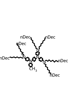 CCCCCCCCCCCCCCCCCCN(CCCCCCCCCCCCCCCCCC)c1ccc(N(c2ccc(C)cc2)c2ccc(N(c3ccc(N(CCCCCCCCCCCCCCCCCC)CCCCCCCCCCCCCCCCCC)cc3)c3ccc(N(CCCCCCCCCCCCCCCCCC)CCCCCCCCCCCCCCCCCC)cc3)cc2)cc1